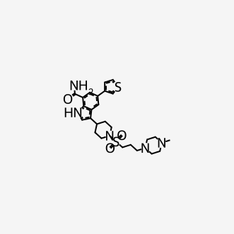 CN1CCN(CCCS(=O)(=O)N2CCC(c3c[nH]c4c(C(N)=O)cc(-c5ccsc5)cc34)CC2)CC1